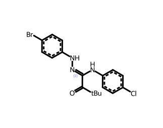 CC(C)(C)C(=O)/C(=N/Nc1ccc(Br)cc1)Nc1ccc(Cl)cc1